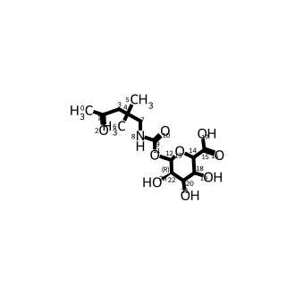 CC(=O)CC(C)(C)CNC(=O)OC1OC(C(=O)O)C(O)C(O)[C@H]1O